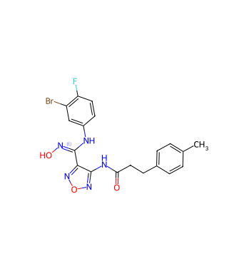 Cc1ccc(CCC(=O)Nc2nonc2/C(=N\O)Nc2ccc(F)c(Br)c2)cc1